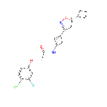 O=C(COc1ccc(Cl)c(F)c1)NC12CC(C3=NO[C@H](C4CCC4)C3)(C1)C2